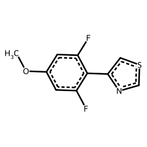 COc1cc(F)c(-c2cscn2)c(F)c1